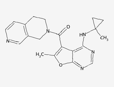 Cc1oc2ncnc(NC3(C)CC3)c2c1C(=O)N1CCc2ccncc2C1